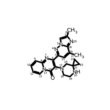 Cc1cn2nc(-c3nc4ccccn4c(=O)c3N3CCNC4(CC4)C3)cc(C)c2n1